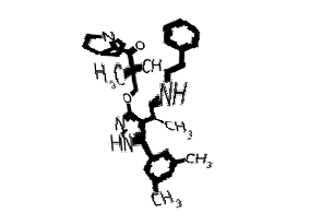 Cc1cc(C)cc(-c2[nH]nc(OCC(C)(C)C(=O)C3C4CCN3CC4)c2[C@H](C)CNCCc2ccccc2)c1